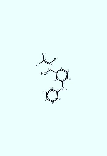 OC(C(F)=C(F)F)c1cccc(Oc2ccccc2)c1